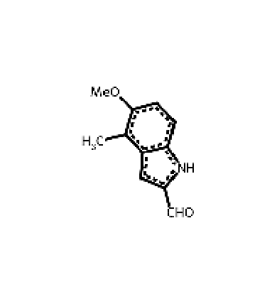 COc1ccc2[nH]c(C=O)cc2c1C